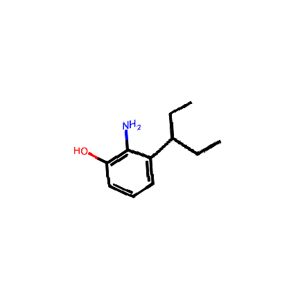 CCC(CC)c1cccc(O)c1N